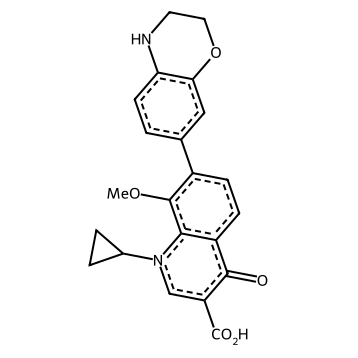 COc1c(-c2ccc3c(c2)OCCN3)ccc2c(=O)c(C(=O)O)cn(C3CC3)c12